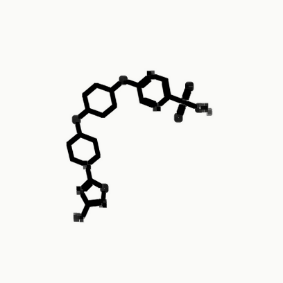 CC(C)c1noc(N2CCC(OC3CCC(Oc4cnc(S(C)(=O)=O)cn4)CC3)CC2)n1